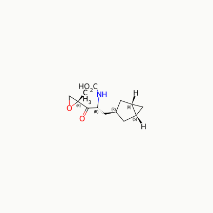 C[C@]1(C(=O)[C@@H](C[C@H]2C[C@@H]3C[C@@H]3C2)NC(=O)O)CO1